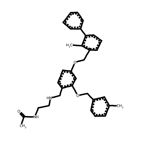 CC(=O)NCCNCc1ccc(OCc2cccc(-c3ccccc3)c2C)cc1OCc1cccc(C)c1